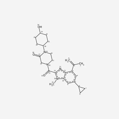 C=C(C)c1cc(C2CC2)cc2c1nc(C(=O)N1CCN(C3CCC(O)CC3)C(=O)C1)n2C